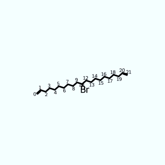 C=CCCCCCCCCC(Br)CCCCCCCCC=C